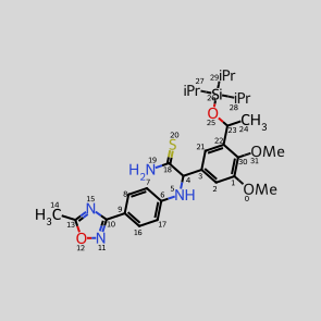 COc1cc(C(Nc2ccc(-c3noc(C)n3)cc2)C(N)=S)cc(C(C)O[Si](C(C)C)(C(C)C)C(C)C)c1OC